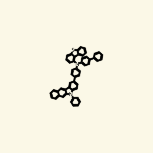 c1ccc(-c2ccc(N(c3ccc(-c4ccc5c(c4)c4cc6ccccc6cc4n5-c4ccccc4)cc3)c3cccc4sc5ccccc5c34)cc2)cc1